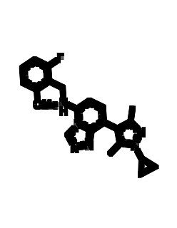 COc1cccc(F)c1CNc1ccc(-c2c(C)nn(C3CC3)c2C)c2nncn12